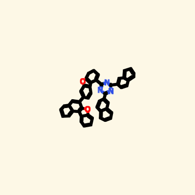 C1=C(c2nc(-c3ccc4ccccc4c3)nc(-c3ccc4ccccc4c3)n2)c2c(oc3cc(-c4cc5ccccc5c5c4oc4ccccc45)ccc23)CC1